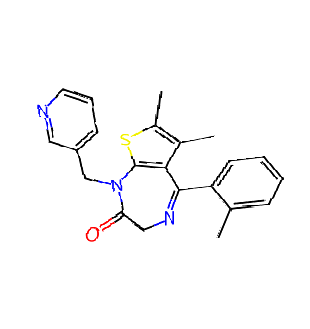 Cc1ccccc1C1=NCC(=O)N(Cc2cccnc2)c2sc(C)c(C)c21